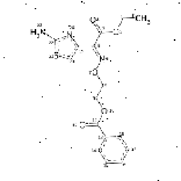 CCOC(=O)/C(=N/OCCOC(=O)c1ccccc1)c1csc(N)n1